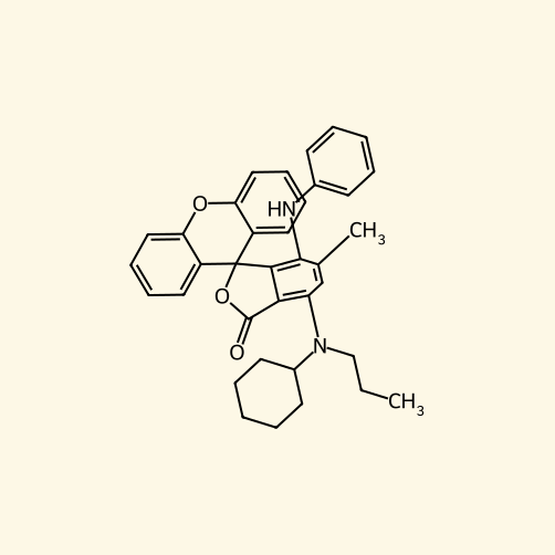 CCCN(c1cc(C)c(Nc2ccccc2)c2c1C(=O)OC21c2ccccc2Oc2ccccc21)C1CCCCC1